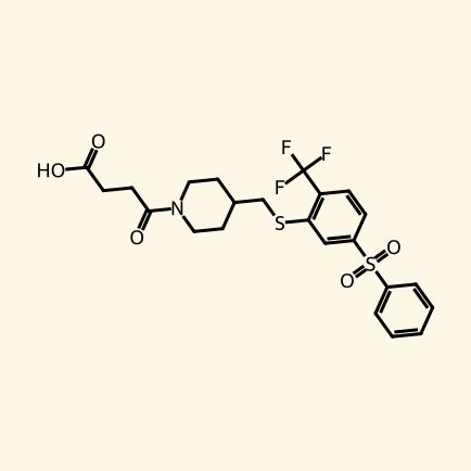 O=C(O)CCC(=O)N1CCC(CSc2cc(S(=O)(=O)c3ccccc3)ccc2C(F)(F)F)CC1